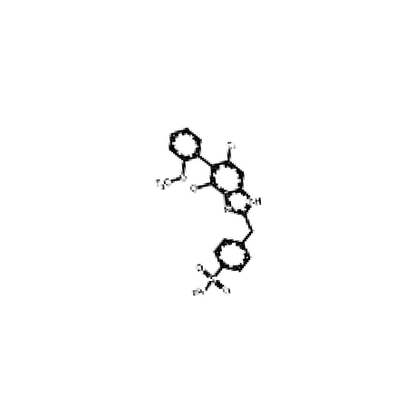 CCCS(=O)(=O)c1ccc(Cc2nc3c(Cl)c(-c4ccccc4OC(F)(F)F)c(Cl)cc3[nH]2)cc1